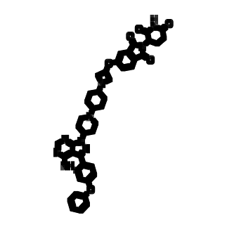 Nc1ncnc2c1c(-c1ccc(Oc3ccccc3)cc1)nn2C1CCN(C2CCC(N3CC(Oc4ccc5c(c4)C(=O)N(C4CCC(=O)NC4=O)C5=O)C3)CC2)CC1